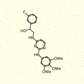 COc1cc(Nc2nccc(NCC(O)c3cccc(F)c3)n2)cc(OC)c1OC